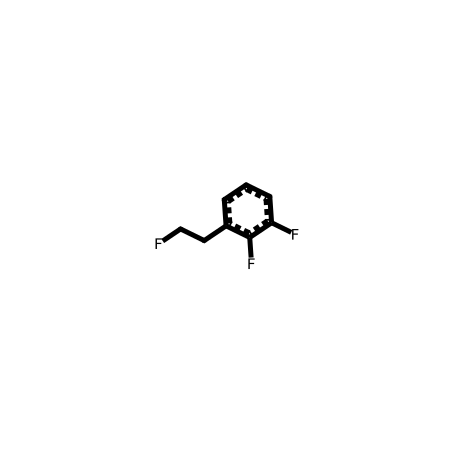 FCCc1cccc(F)c1F